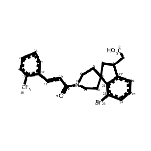 O=C(O)CC1CC2(CCN(C(=O)/C=C/c3ccccc3C(F)(F)F)CC2)c2c(Br)cccc21